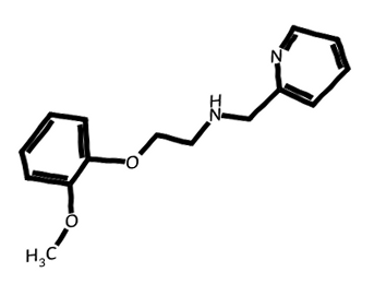 COc1ccccc1OCCNCc1ccccn1